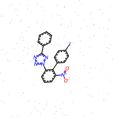 O=[N+]([O-])c1cccc(-n2nnc(-c3ccccc3)n2)c1-c1ccc(I)cc1